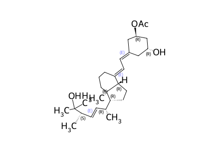 CC(=O)O[C@@H]1C/C(=C/C=C2\CCC[C@]3(C)[C@@H]([C@H](C)/C=C/[C@H](C)C(C)(C)O)CC[C@@H]23)C[C@@H](O)C1